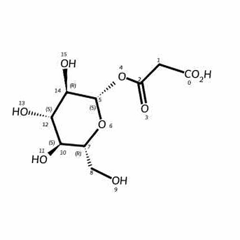 O=C(O)CC(=O)O[C@@H]1O[C@H](CO)[C@@H](O)[C@H](O)[C@H]1O